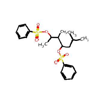 CC(C)CC(OS(=O)(=O)c1ccccc1)C(C)C(C)OS(=O)(=O)c1ccccc1